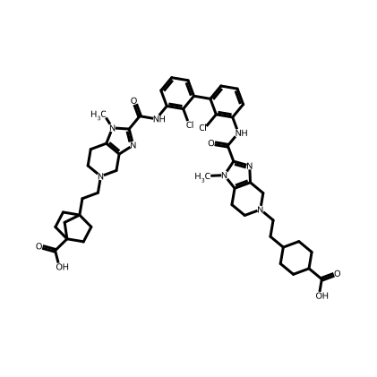 Cn1c(C(=O)Nc2cccc(-c3cccc(NC(=O)c4nc5c(n4C)CCN(CCC46CCC(C(=O)O)(CC4)C6)C5)c3Cl)c2Cl)nc2c1CCN(CCC1CCC(C(=O)O)CC1)C2